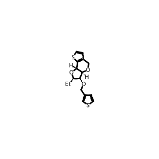 CC[C@H]1O[C@@H]2c3sccc3CO[C@H]2[C@H]1OCc1ccsc1